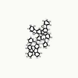 c1ccc(N(c2ccc3c(c2)N(c2ccccc2)c2ccccc2[Si]3(c2ccc3c(c2)oc2ccccc23)c2ccc3c(c2)oc2ccccc23)c2ccc3c(c2)C(c2ccccc2)(c2ccccc2)c2ccccc2-3)cc1